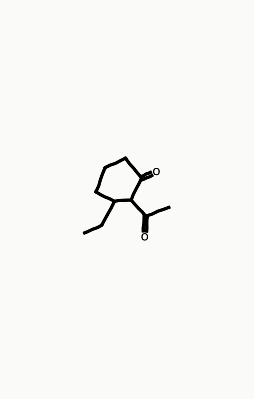 CCC1CCCC(=O)C1C(C)=O